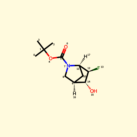 CC(C)(C)OC(=O)N1C[C@H]2C[C@@H]1[C@@H](F)[C@@H]2O